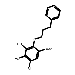 COc1cc(Cl)c(C(C)=O)c(O)c1OCCCc1ccccc1